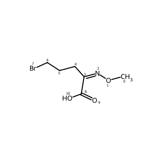 CON=C(CCCBr)C(=O)O